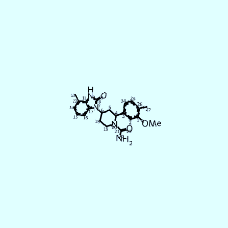 COc1cc(C2CC(n3c(=O)[nH]c4c(C)cccc43)CCN2C(N)=O)ccc1C